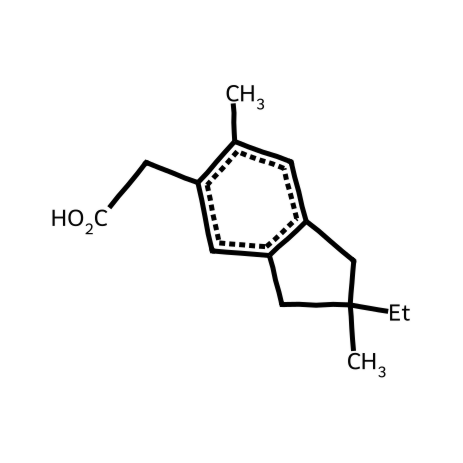 CCC1(C)Cc2cc(C)c(CC(=O)O)cc2C1